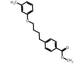 COC(=O)c1ccc(CCCCOc2cccc(C)c2)cc1